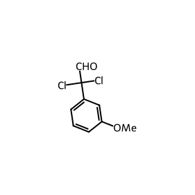 COc1cccc(C(Cl)(Cl)C=O)c1